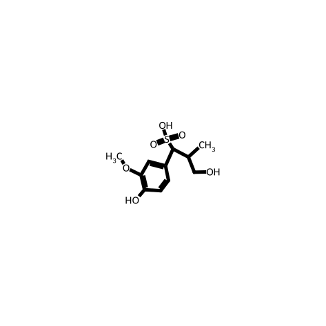 COc1cc(C(C(C)CO)S(=O)(=O)O)ccc1O